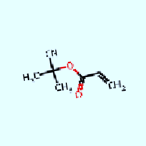 C=CC(=O)OC(C)(C)C#N